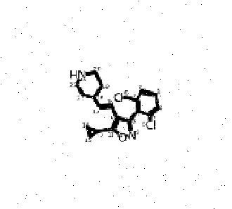 Clc1cccc(Cl)c1-c1noc(C2CC2)c1C=CC1CCNCC1